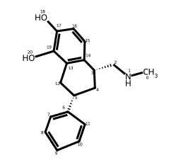 CNC[C@@H]1C[C@H](c2ccccc2)Cc2c1ccc(O)c2O